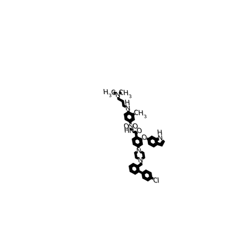 Cc1cc(S(=O)(=O)NC(=O)c2ccc(N3CCN(Cc4ccccc4-c4ccc(Cl)cc4)CC3)cc2Oc2ccc3cc[nH]c3c2)ccc1NCCCN(C)C